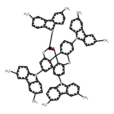 Cc1ccc2c(c1)c1cc(C)ccc1n2-c1ccc2c(c1)Oc1cc(-n3c4ccc(C)cc4c4cc(C)ccc43)ccc1C21c2ccc(-n3c4ccc(C)cc4c4cc(C)ccc43)cc2Oc2cc(-n3c4ccc(C)cc4c4cc(C)ccc43)ccc21